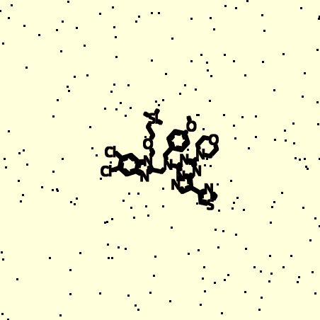 COc1ccc(CN(Cc2nc3cc(Cl)c(Cl)cc3n2COCC[Si](C)(C)C)c2nc(N3CCOCC3)nc3c(-c4cscn4)cnn23)cc1